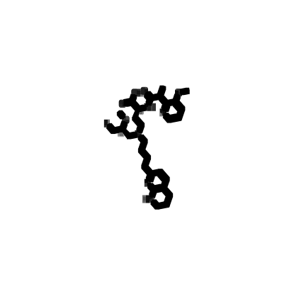 COc1cccnc1C(C)C(=O)N[C@@H](CCN(CCCCc1ccc2c(n1)NCCC2)C[C@@H](CF)OC)C(=O)O